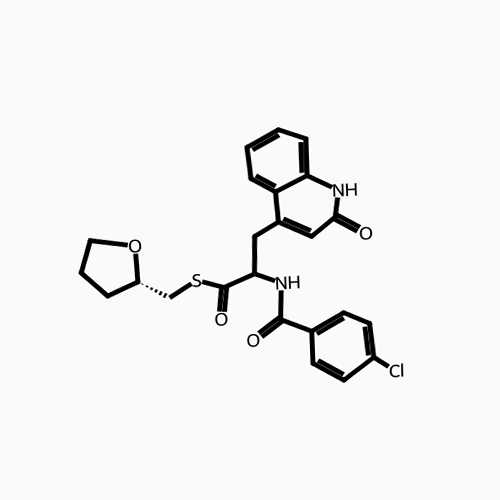 O=C(NC(Cc1cc(=O)[nH]c2ccccc12)C(=O)SC[C@@H]1CCCO1)c1ccc(Cl)cc1